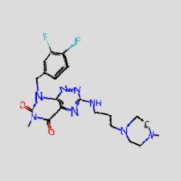 CN1CCN(CCCNc2nnc3c(n2)c(=O)n(C)c(=O)n3Cc2ccc(F)c(F)c2)CC1